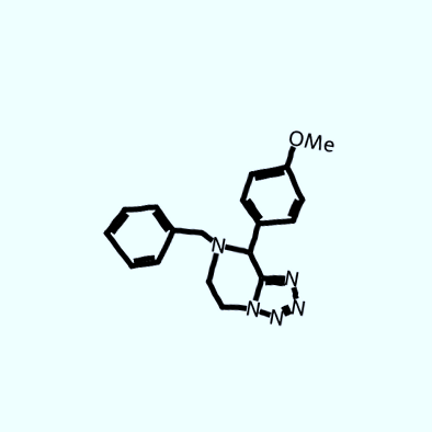 COc1ccc(C2c3nnnn3CCN2Cc2ccccc2)cc1